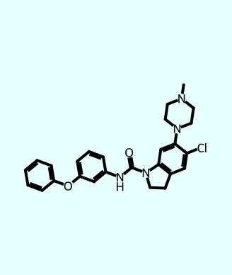 CN1CCN(c2cc3c(cc2Cl)CCN3C(=O)Nc2cccc(Oc3ccccc3)c2)CC1